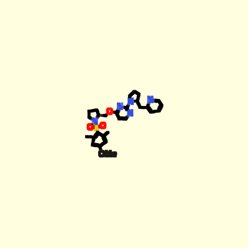 COc1cc(C)c(S(=O)(=O)N2CCC[C@H]2COc2ccnc(N3CCCC3Cc3ccccn3)n2)c(C)c1